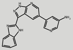 Nc1cncc(-c2cnc3[nH]nc(-c4nc5ccccc5[nH]4)c3c2)c1